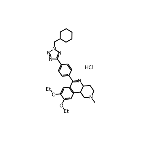 CCOc1cc2c(cc1OCC)C1CN(C)CCC1N=C2c1ccc(-c2nnn(CC3CCCCC3)n2)cc1.Cl